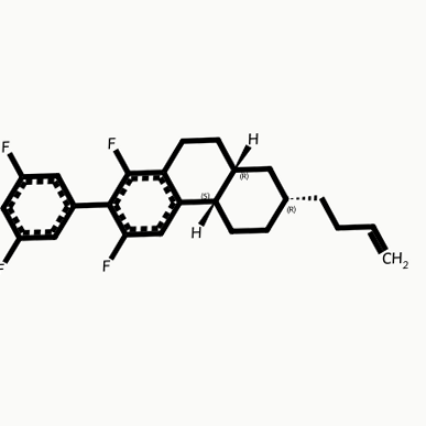 C=CCC[C@@H]1CC[C@@H]2c3cc(F)c(-c4cc(F)cc(F)c4)c(F)c3CC[C@@H]2C1